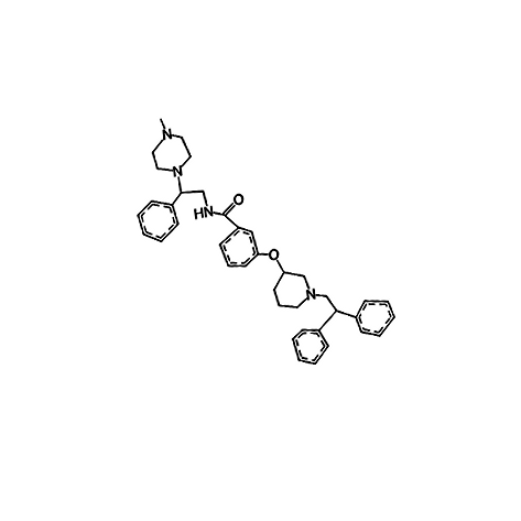 CN1CCN(C(CNC(=O)c2cccc(OC3CCCN(CC(c4ccccc4)c4ccccc4)C3)c2)c2ccccc2)CC1